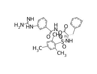 Cc1cc(C)c(S(=O)(=O)N[C@@H](Cc2ccccc2)C(=O)ONC(=O)c2cccc(NC(=N)N)c2)c(C)c1